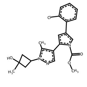 COC(=O)n1cc(-c2ccccc2Cl)cc1-c1cnn(C2CC(C)(O)C2)c1C